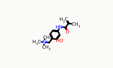 C=C(C)C(=O)Nc1ccc(C[N+](C)(C)C)cc1.[OH-]